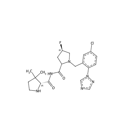 CC1(C)CCN[C@H]1C(=O)NC(=O)C1C[C@@H](F)CN1Cc1cc(Cl)ccc1-n1cncn1